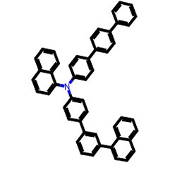 c1ccc(-c2ccc(-c3ccc(N(c4ccc(-c5cccc(-c6cccc7ccccc67)c5)cc4)c4cccc5ccccc45)cc3)cc2)cc1